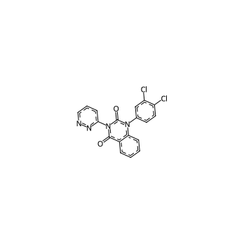 O=c1c2ccccc2n(-c2ccc(Cl)c(Cl)c2)c(=O)n1-c1cccnn1